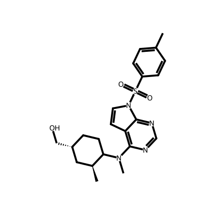 Cc1ccc(S(=O)(=O)n2ccc3c(N(C)C4CC[C@@H](CO)C[C@@H]4C)ncnc32)cc1